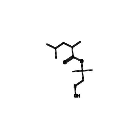 CC(C)CC(C)C(=O)OC(C)(C)CSO